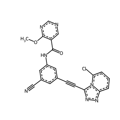 COc1ncncc1C(=O)Nc1cc(C#N)cc(C#Cc2nnc3cccc(Cl)n23)c1